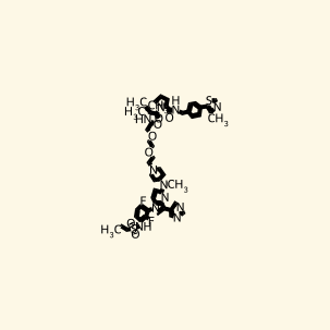 CCCS(=O)(=O)Nc1ccc(F)c(-n2cc(-c3cncnc3)c3nc(N(C)C4CCN(CCOCCOCC(=O)NC(C(=O)N5CCCC5C(=O)NCc5ccc(-c6scnc6C)cc5)C(C)(C)C)CC4)ccc32)c1F